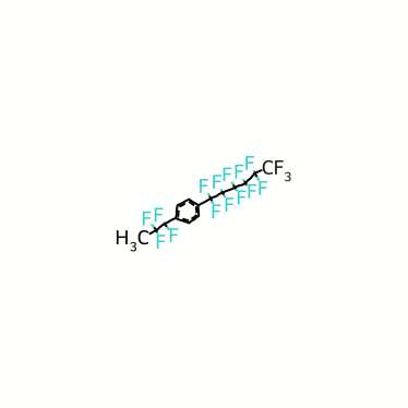 CC(F)(F)C(F)(F)c1ccc(C(F)(F)C(F)(F)C(F)(F)C(F)(F)C(F)(F)C(F)(F)F)cc1